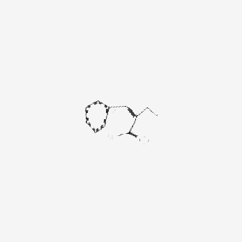 CCC(=Cc1ccccc1)C(=O)Br